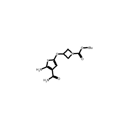 CC(C)(C)OC(=O)N1CC(Oc2cc(C(N)=O)c(N)s2)C1